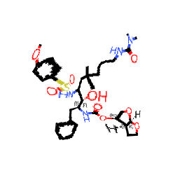 COc1ccc(S(=O)(=O)NC(CC(C)(C)CCCNC(=O)N(C)C)[C@H](O)[C@H](Cc2ccccc2)NC(=O)O[C@H]2CO[C@H]3OCC[C@H]32)cc1